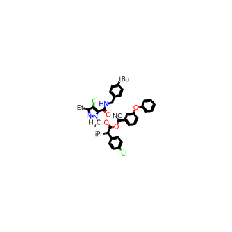 CC(C)C(C(=O)OC(C#N)c1cccc(Oc2ccccc2)c1)c1ccc(Cl)cc1.CCc1nn(C)c(C(=O)NCc2ccc(C(C)(C)C)cc2)c1Cl